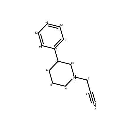 N#CCN1CCCC(c2ccccc2)C1